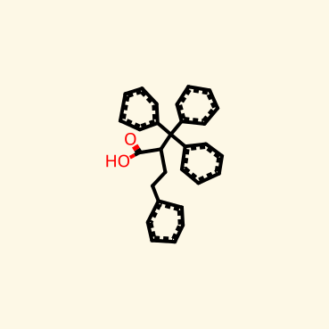 O=C(O)C(CCc1ccccc1)C(c1ccccc1)(c1ccccc1)c1ccccc1